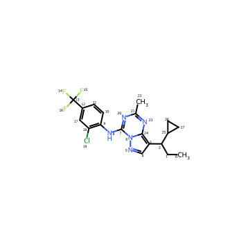 CCC(c1cnn2c(Nc3ccc(C(F)(F)F)cc3Cl)nc(C)nc12)C1CC1